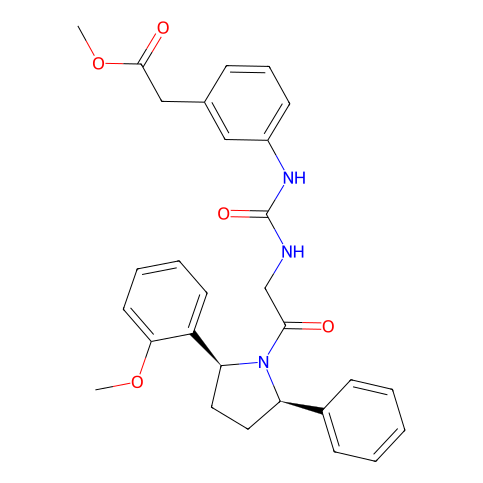 COC(=O)Cc1cccc(NC(=O)NCC(=O)N2[C@@H](c3ccccc3)CC[C@H]2c2ccccc2OC)c1